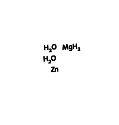 O.O.[MgH2].[Zn]